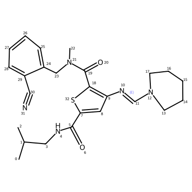 CC(C)CNC(=O)c1cc(/N=C/N2CCCCC2)c(C(=O)N(C)Cc2ccccc2C#N)s1